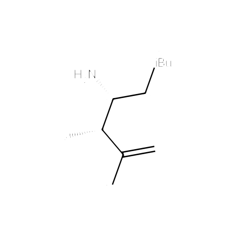 C=C(C)[C@H](C)[C@H](N)CC(C)CC